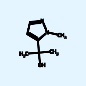 Cn1nccc1C(C)(C)O